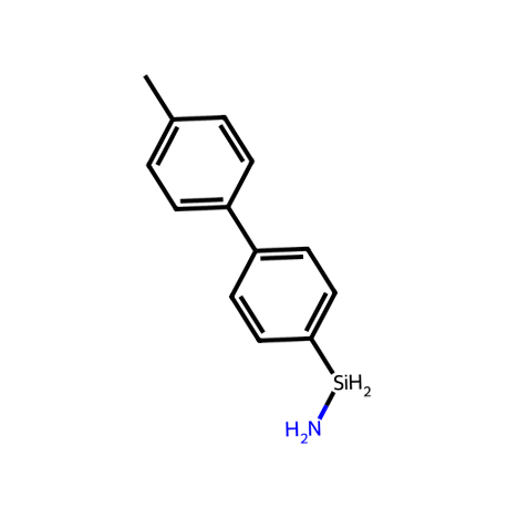 Cc1ccc(-c2ccc([SiH2]N)cc2)cc1